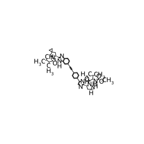 COC(=O)N[C@H](C(=O)N1[C@@H]2C[C@@H]2C[C@H]1c1ncc(-c2ccc(C#Cc3ccc4nc([C@@H]5CC6(CC6)CN5C(=O)[C@@H](C)C(C)C)[nH]c4c3)cc2)[nH]1)C(C)C